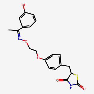 C/C(=N/OCCOc1ccc(CC2SC(=O)NC2=O)cc1)c1cccc(O)c1